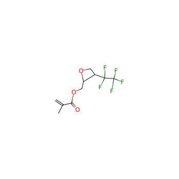 C=C(C)C(=O)OCC1OCC1C(F)(F)C(F)(F)F